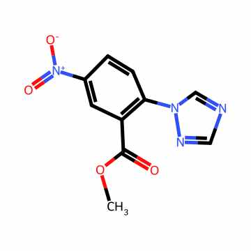 COC(=O)c1cc([N+](=O)[O-])ccc1-n1cncn1